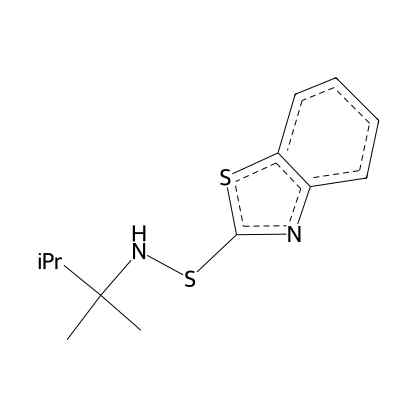 CC(C)C(C)(C)NSc1nc2ccccc2s1